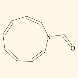 O=Cn1cccccccc1